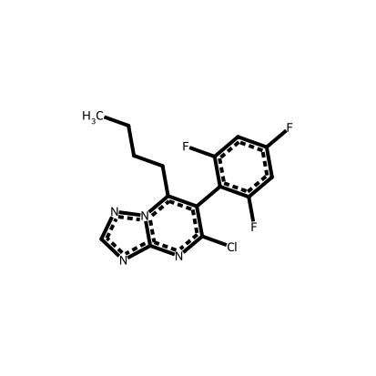 CCCCc1c(-c2c(F)cc(F)cc2F)c(Cl)nc2ncnn12